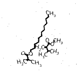 C=C(C(=O)OC)C(C)C.C=C(C)C(=O)OCCCCCCCCCCCCC